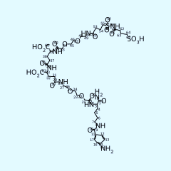 NC(=O)C(CCCCNC(=O)c1ccc(N)cc1)NC(=O)COCCOCCNC(=O)CCC(NC(=O)CCC(NC(=O)COCCOCCNC(=O)CCCS(=O)(=O)NC(=O)CCCS(=O)(=O)O)C(=O)O)C(=O)O